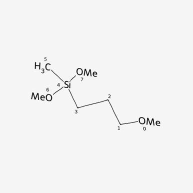 COCCC[Si](C)(OC)OC